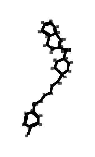 Fc1ccc(OCCCCCN2CCC(NC3=Nc4ccccc4CS3)CC2)cc1